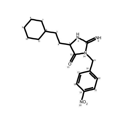 N=C1NC(CCC2CCCCC2)C(=O)N1Cc1ccc([N+](=O)[O-])cc1